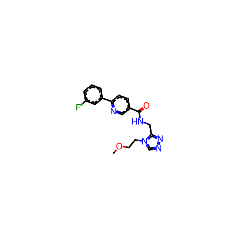 COCCn1cnnc1CNC(=O)c1ccc(-c2cccc(F)c2)nc1